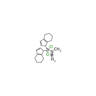 C[SiH](C)[Zr]([Cl])([Cl])([CH]1C=CC2=C1CCCC2)[CH]1C=CC2=C1CCCC2